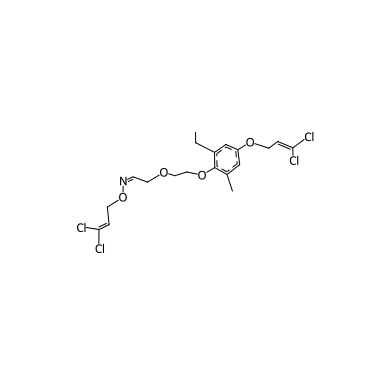 CCc1cc(OCC=C(Cl)Cl)cc(C)c1OCCOC/C=N\OCC=C(Cl)Cl